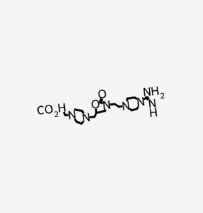 N=C(N)N1CCN(CCN2CC(CN3CCN(CC(=O)O)CC3)OC2=O)CC1